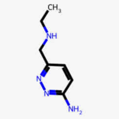 CCNCc1ccc(N)nn1